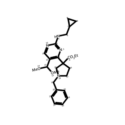 CCOC(=O)C1(c2nc(NCC3CC3)ncc2C(OC)OC)CCN(Cc2ccccc2)C1